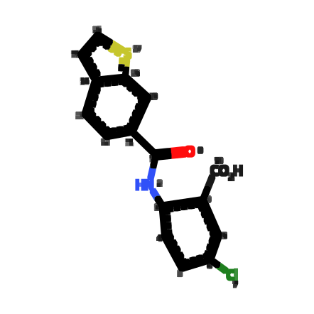 O=C(Nc1ccc(Cl)cc1C(=O)O)c1ccc2ccsc2c1